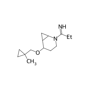 CCC(=N)N1CCC(OCC2(C)CC2)C2CC21